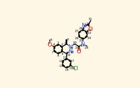 C=C1c2cc(OC)ccc2C(c2cccc(Cl)c2)=NN1CC(=O)N(C)c1ccc2nc(C)oc2c1